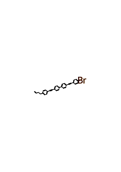 C=CCCc1ccc(C#Cc2ccc(-c3ccc(C#Cc4ccc(Br)cc4)cc3)cc2)cc1